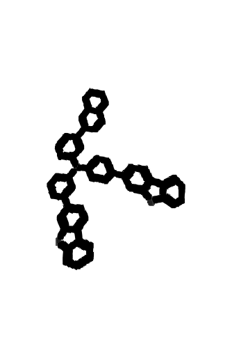 c1cc(-c2ccc3ccccc3c2)cc(N(c2ccc(-c3ccc4c(c3)oc3ccccc34)cc2)c2cccc(-c3ccc4c(c3)sc3ccccc34)c2)c1